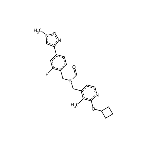 Cc1c(CN(C=O)Cc2ccc(-c3cn(C)nn3)cc2F)ccnc1OC1CCC1